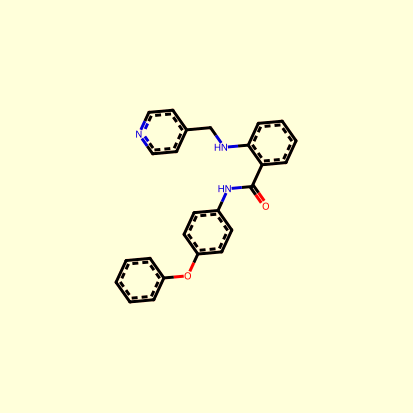 O=C(Nc1ccc(Oc2ccccc2)cc1)c1ccccc1NCc1ccncc1